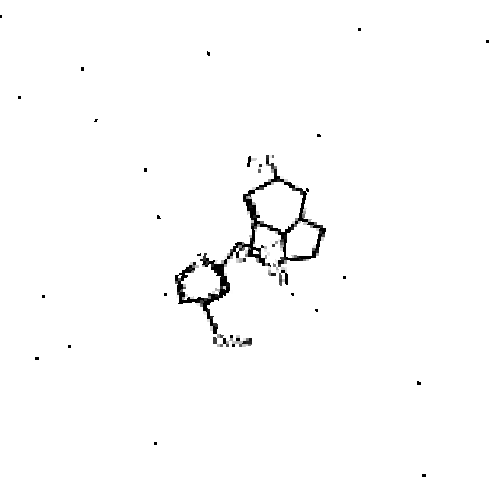 COc1ccnc(CO[C@]23C4=C[C@@H](C)CC2CC[C@H]3OC4=O)c1